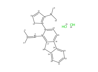 C[C](C)=[Zr][c]1c(C2=C(C(C)C)C=CC2)ccc2c1Cc1ccccc1-2.Cl.Cl